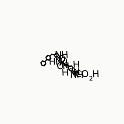 CC(NC(=O)c1cc(Cc2ccc(-c3ccccc3)cc2)c[nH]1)C(=O)NCc1ccc(C(=N)NC(=O)O)cc1